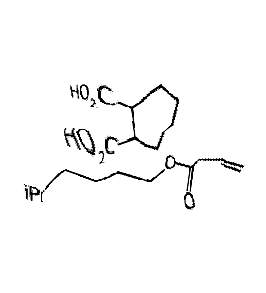 C=CC(=O)OCCCCC(C)C.O=C(O)C1CCCCC1C(=O)O